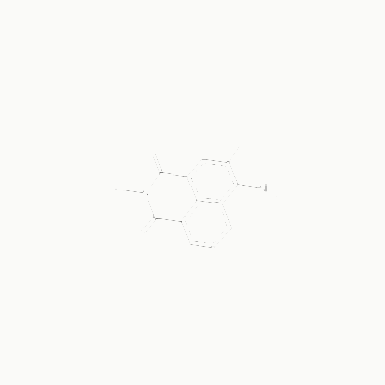 Nc1c(Cl)cc2c3c(cccc13)C(=O)N(O)C2=O